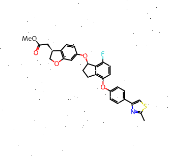 COC(=O)C[C@@H]1COc2cc(O[C@@H]3CCc4c(Oc5ccc(-c6csc(C)n6)cc5)ccc(F)c43)ccc21